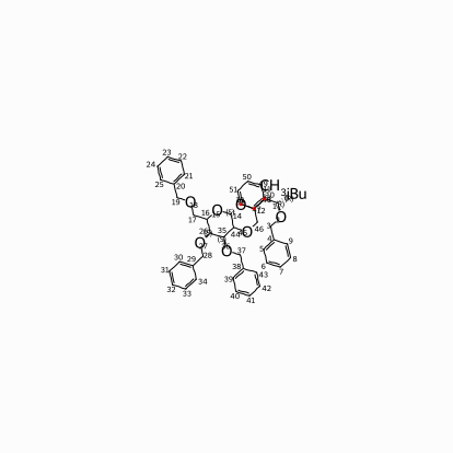 CC[C@@H](C)[C@@H](OCc1ccccc1)[C@@H](C)CO[C@H]1OC(COCc2ccccc2)[C@H](OCc2ccccc2)[C@H](OCc2ccccc2)C1OCc1ccccc1